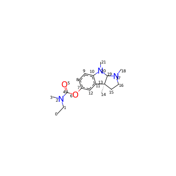 CCN(C)C(=O)Oc1ccc2c(c1)[C@]1(C)CCN(C)C1N2C